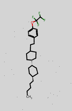 CCCCC[C@H]1CC[C@H](C2CCC(CCc3ccc(OC(F)(F)C(F)F)cc3)CC2)CC1